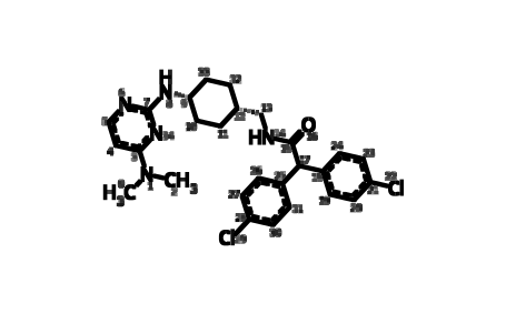 CN(C)c1ccnc(N[C@H]2CC[C@@H](CNC(=O)C(c3ccc(Cl)cc3)c3ccc(Cl)cc3)CC2)n1